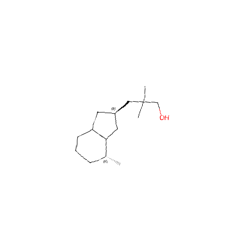 C[C@@H]1CCCC2C[C@@H](CC(C)(C)CO)CC21